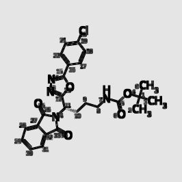 CC(C)(C)OC(=O)NCCC[C@@H](c1nnc(-c2ccc(Cl)cc2)o1)N1C(=O)c2ccccc2C1=O